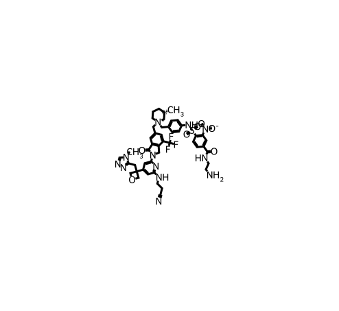 C[C@H]1CCC[N+](Cc2ccc(NS(=O)(=O)c3ccc(C(=O)NCCN)cc3[N+](=O)[O-])cc2)(Cc2cc3c(c(C(F)(F)F)c2)CN(c2cc(C4(Cc5nncn5C)COC4)cc(NCCC#N)n2)C3=O)C1